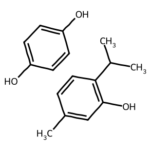 Cc1ccc(C(C)C)c(O)c1.Oc1ccc(O)cc1